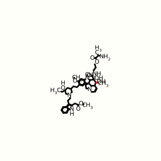 CCC1(O)CC(CCc2cc3c(cc2OC)N(C)C2C34CCN3CC=C[C@](CC)(C34)[C@@H](O)[C@]2(O)C(=O)NCCCOC(=O)C(C)N)CN(CCc2c(CC(=O)OC)[nH]c3ccccc23)C1